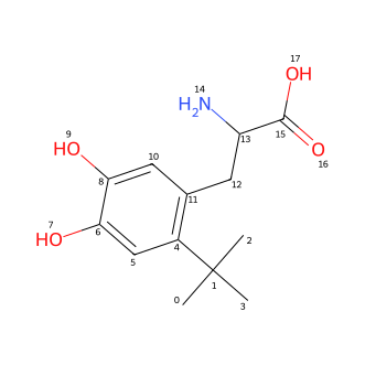 CC(C)(C)c1cc(O)c(O)cc1CC(N)C(=O)O